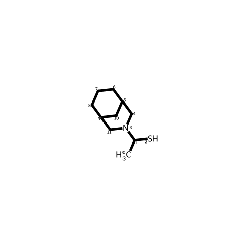 CC(S)N1CC2CCCC(C2)C1